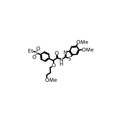 CCS(=O)(=O)c1ccc(C(OCCCOC)C(=O)Nc2nc3cc(OC)c(OC)cc3s2)cc1